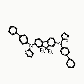 CCC1(CC)c2cc(N(c3ccc(-c4ccccc4)cc3)c3cccs3)ccc2-c2ccc(N(c3ccc(-c4ccccc4)cc3)c3cccs3)cc21